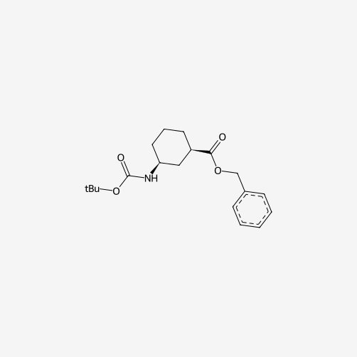 CC(C)(C)OC(=O)N[C@H]1CCC[C@@H](C(=O)OCc2ccccc2)C1